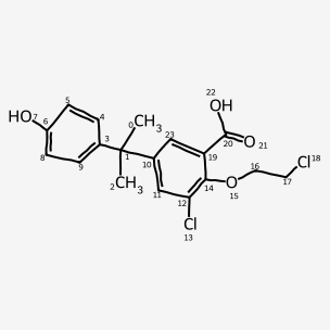 CC(C)(c1ccc(O)cc1)c1cc(Cl)c(OCCCl)c(C(=O)O)c1